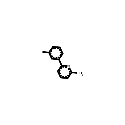 Cc1cccc(-c2cccc(I)c2)n1